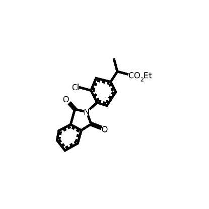 CCOC(=O)C(C)c1ccc(N2C(=O)c3ccccc3C2=O)c(Cl)c1